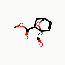 COC(=O)C1CC2C=C[C@]1(C=O)O2